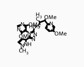 COc1ccc(C(OC)C(C)SNc2nnc(C3C=CN(C)N3)n2-c2c(OC)ncnc2OC)nc1